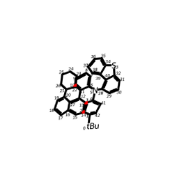 CC(C)(C)c1ccc(N(c2ccccc2-c2cccc3cccc(C4CCCCC4)c23)c2cccc3sc4ccccc4c23)cc1